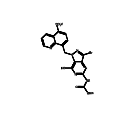 COC(=O)Nc1nc(O)c2c(n1)c(Br)nn2Cc1ccc(C(=O)O)c2cccnc12